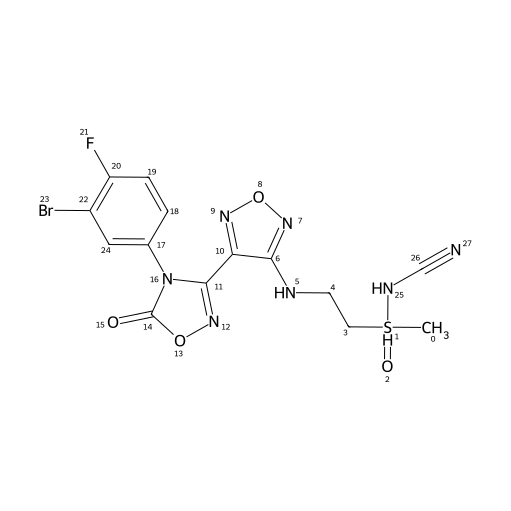 C[SH](=O)(CCNc1nonc1-c1noc(=O)n1-c1ccc(F)c(Br)c1)NC#N